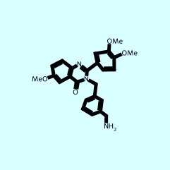 COc1ccc2nc(-c3ccc(OC)c(OC)c3)n(Cc3cccc(CN)c3)c(=O)c2c1